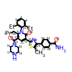 CCc1cccc(CC)c1-n1c(CC(C)C)c(C(=O)N2CCNCC2)cc(-c2nc(-c3ccc(C(N)=O)cc3)c(C)s2)c1=O